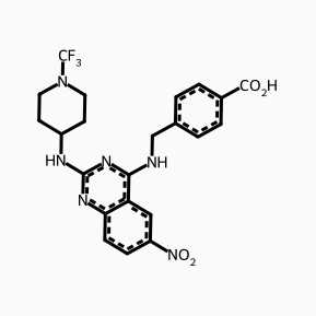 O=C(O)c1ccc(CNc2nc(NC3CCN(C(F)(F)F)CC3)nc3ccc([N+](=O)[O-])cc23)cc1